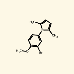 COc1ccc(-n2c(C)ccc2C)cc1Br